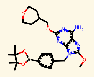 COc1nc2c(N)nc(OCC3CCOCC3)nc2n1Cc1ccc(B2OC(C)(C)C(C)(C)O2)cc1